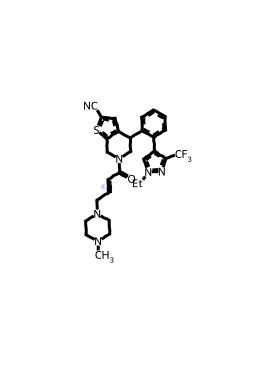 CCn1cc(-c2ccccc2C2CN(C(=O)/C=C/CN3CCN(C)CC3)Cc3sc(C#N)cc32)c(C(F)(F)F)n1